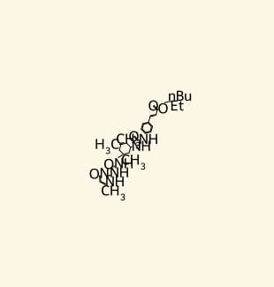 CCCCC(CC)COC(=O)/C=C/c1ccc(NC(=O)NC2CC(C)(C)CC(C)(CNC(=O)Nc3nc(=O)cc(C)[nH]3)C2)cc1